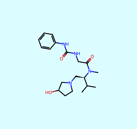 CC(C)[C@@H](CN1CCC(O)C1)N(C)C(=O)CNC(=O)Nc1ccccc1